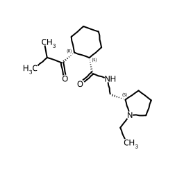 CCN1CCC[C@H]1CNC(=O)[C@H]1CCCC[C@H]1C(=O)C(C)C